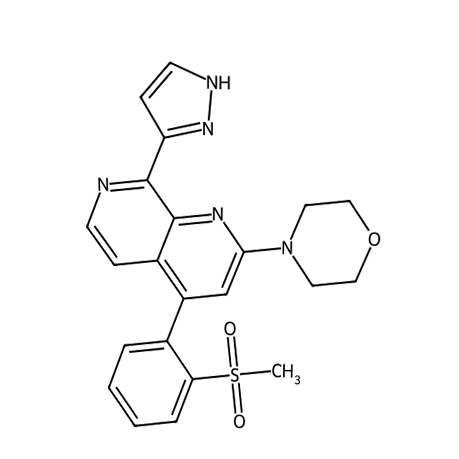 CS(=O)(=O)c1ccccc1-c1cc(N2CCOCC2)nc2c(-c3cc[nH]n3)nccc12